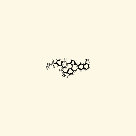 CNS(=O)(=O)c1cnc(NCc2ccc(-c3ccc4nccc(N)c4c3)s2)c(C(=O)N[C@@H](C)c2ccc(F)cc2)c1